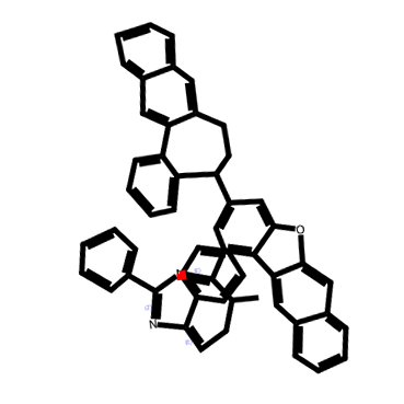 CC1C/C=C(c2ccccc2)/N=C(c2ccccc2)\N=C/1c1cc(C2CCc3cc4ccccc4cc3-c3ccccc32)cc2oc3cc4ccccc4cc3c12